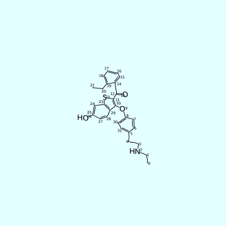 CCNCCc1ccc(Oc2c(C(=O)c3ccccc3CC)sc3cc(O)ccc23)cc1